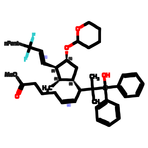 CCCCCC(F)(F)/C=C/[C@@H]1[C@@H](C)[C@@H](C(/C=C\CCCC(=O)OC)C(C)(C)[Si](O)(c2ccccc2)c2ccccc2)C[C@H]1OC1CCCCO1